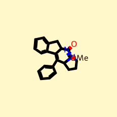 COC1=NC23Cc4ccccc4C2=C(c2ccccc2)C12CCCN2C3=O